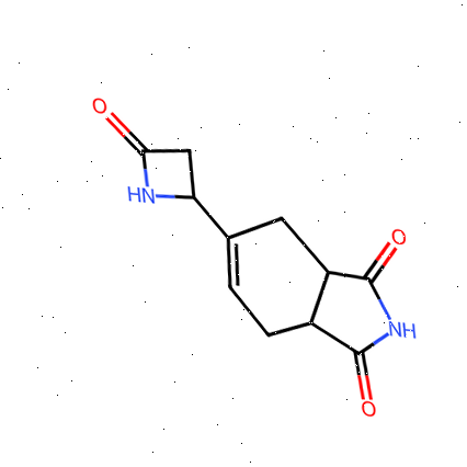 O=C1CC(C2=CCC3C(=O)NC(=O)C3C2)N1